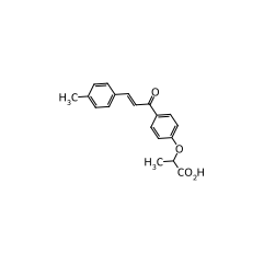 Cc1ccc(/C=C/C(=O)c2ccc(OC(C)C(=O)O)cc2)cc1